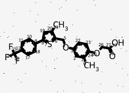 Cc1cc(OCc2sc(-c3ccc(C(F)(F)F)cc3)cc2C)ccc1OCC(=O)O